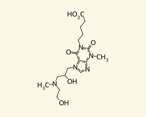 CN(CCO)CC(O)Cn1cnc2c1c(=O)n(CCCCC(=O)O)c(=O)n2C